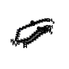 CCCCCCCC/C=C\CCCCCCCC(=O)OCCCCCCCCCC.CCCCCCCCCCCCCCCCCC(=O)OCC(O)CO.CCCCCCCCCCCCCCCCO